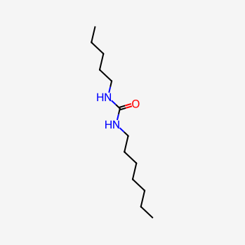 CCCCCCCNC(=O)NCCCCC